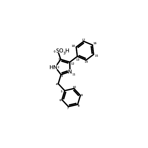 O=S(=O)(O)c1[nH]c(Cc2ccccc2)nc1-c1ccccc1